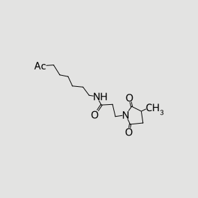 CC(=O)CCCCCCNC(=O)CCN1C(=O)CC(C)C1=O